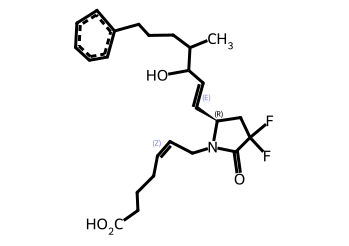 CC(CCCc1ccccc1)C(O)/C=C/[C@H]1CC(F)(F)C(=O)N1C/C=C\CCCC(=O)O